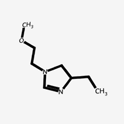 CCC1CN(CCOC)C=N1